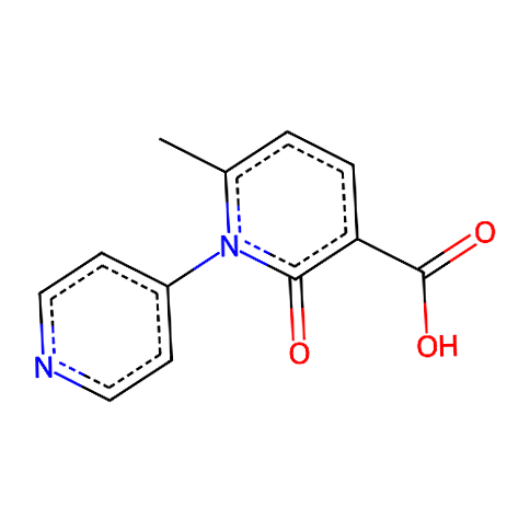 Cc1ccc(C(=O)O)c(=O)n1-c1ccncc1